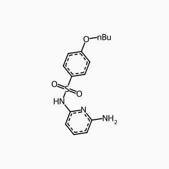 CCCCOc1ccc(S(=O)(=O)Nc2cccc(N)n2)cc1